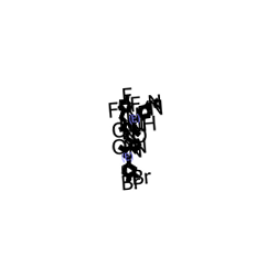 Cn1cc2cc(/N=c3\[nH]c(=O)n(Cc4cnnn4C(=O)/C=C/c4ccc(Br)c(Br)c4)c(=O)n3Cc3cc(F)c(F)cc3F)c(Cl)cc2n1